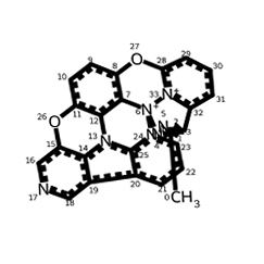 Cc1cc2n(n1)[N+]13c4c(ccc5c4-n4c6c(cncc6c6ccc[n+]1c64)O5)Oc1cccc-2[n+]13